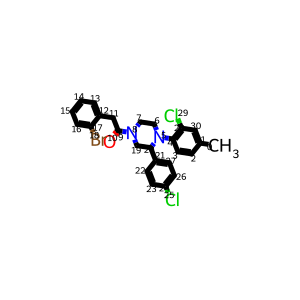 Cc1ccc(N2CCN(C(=O)Cc3ccccc3Br)CC2c2ccc(Cl)cc2)c(Cl)c1